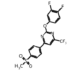 CS(=O)(=O)c1ccc(-c2cc(C(F)(F)F)nc(Oc3ccc(F)c(F)c3)n2)cc1